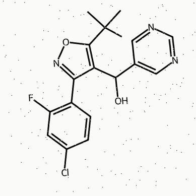 CC(C)(C)c1onc(-c2ccc(Cl)cc2F)c1C(O)c1cncnc1